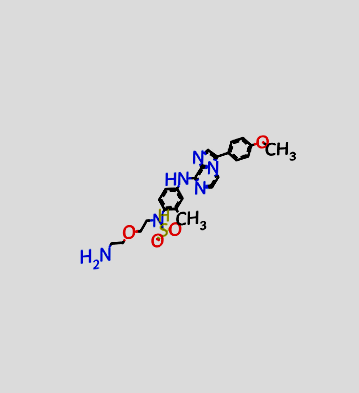 COc1ccc(-c2cnc3c(Nc4ccc(N(CCOCCN)[SH](=O)=O)c(C)c4)nccn23)cc1